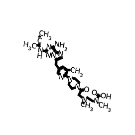 CCCC(C)Nc1nc(N)c2ncc(Cc3cnc(N4CCN(C(=O)CN(C)CCN(C)C(=O)O)CC4)c(C)c3)n2n1